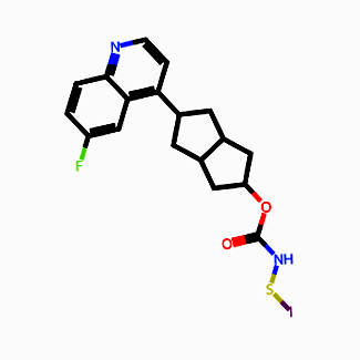 O=C(NSI)OC1CC2CC(c3ccnc4ccc(F)cc34)CC2C1